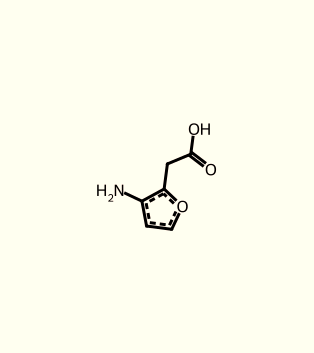 Nc1ccoc1CC(=O)O